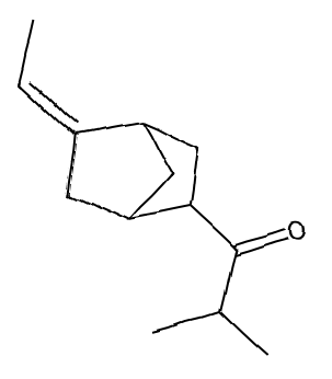 CC=C1CC2CC1CC2C(=O)C(C)C